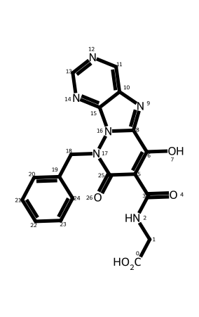 O=C(O)CNC(=O)c1c(O)c2nc3cncnc3n2n(Cc2ccccc2)c1=O